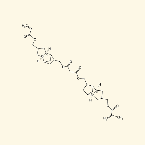 C=CC(=O)OCC1C[C@@H]2C3CC(COC(=O)CC(=O)OCC4CC5CC4[C@H]4CC(COC(=O)C(=C)C)C[C@@H]54)C(C3)[C@@H]2C1